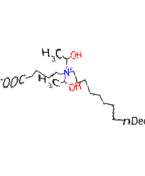 CCCCCCCCCCCCCCCCCC[N+](CCCCC(=O)[O-])(C(C)O)C(C)O